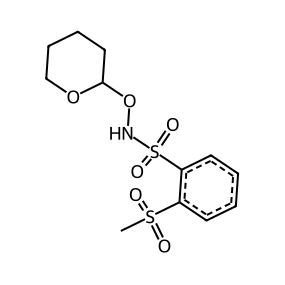 CS(=O)(=O)c1ccccc1S(=O)(=O)NOC1CCCCO1